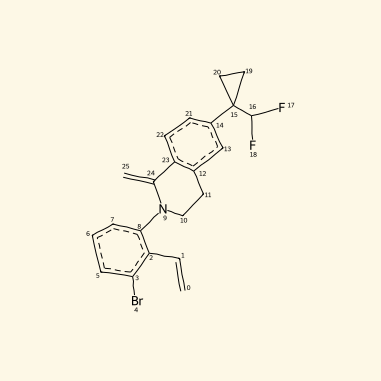 C=Cc1c(Br)cccc1N1CCc2cc(C3(C(F)F)CC3)ccc2C1=C